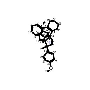 COc1ccc(C(C)(/C=C\c2c3c(c4ccccc4c2C)CCCC3)c2ccc(OC)cc2)cc1